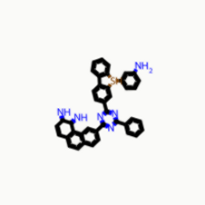 N=C1C=Cc2ccc3ccc(-c4nc(-c5ccccc5)nc(-c5ccc6c(c5)[SH](c5cccc(N)c5)c5ccccc5-6)n4)cc3c2C1=N